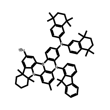 Cc1cc2c3c(c1)N1c4c(cc(C(C)(C)C)cc4C4(C)CCCCC14C)B3c1ccc(N(c3ccc4c(c3)C(C)(C)CCC4(C)C)c3ccc4c(c3)C(C)(C)CCC4(C)C)cc1N2c1cccc2c1C(C)(C)c1ccccc1-2